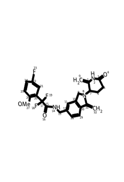 C=C1NC(=O)CCC1N1Cc2cc(CNC(=O)C(F)(F)c3cc(F)ccc3OC)ccc2C1=C